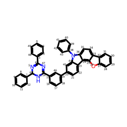 c1ccc(C2=NC(c3ccccc3)NC(c3cccc(-c4ccc5c6c7oc8ccccc8c7ccc6n(-c6ccccc6)c5c4)c3)=N2)cc1